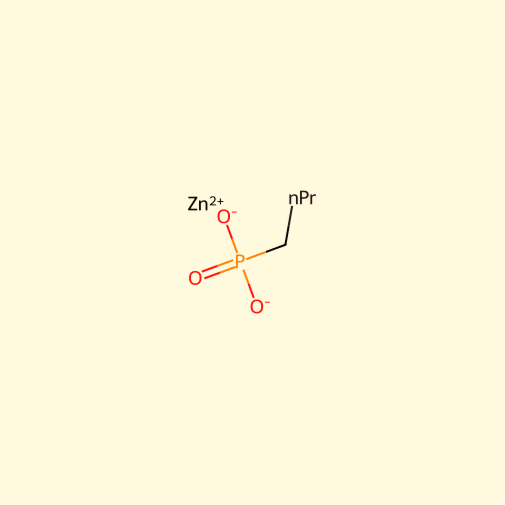 CCCCP(=O)([O-])[O-].[Zn+2]